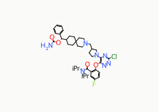 CC(C)N(C(=O)c1cc(F)ccc1Oc1nnc(Cl)nc1N1CCC(CN2CCC3(CCC([C@H](OC(N)=O)c4ccccc4)CC3)CC2)C1)C(C)C